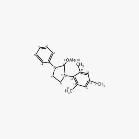 COC1N(c2ccccc2)CCN1c1c(C)cc(C)cc1C